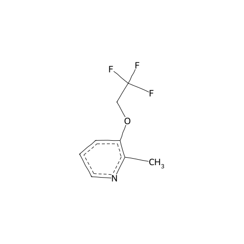 Cc1ncccc1OCC(F)(F)F